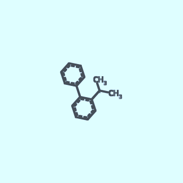 C[C](C)c1ccccc1-c1ccccc1